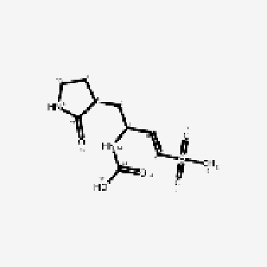 CS(=O)(=O)/C=C/C(C[C@@H]1CCNC1=O)NC(=O)O